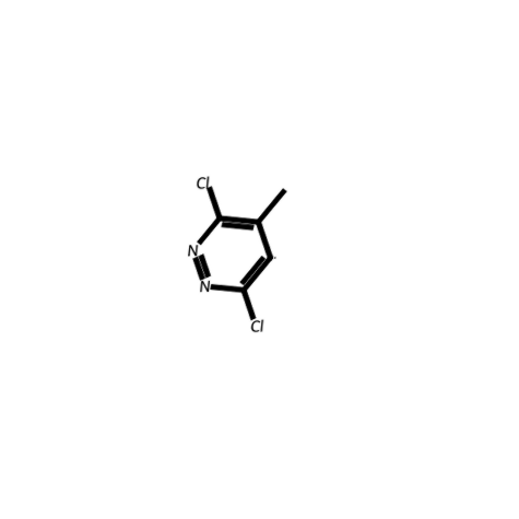 Cc1[c]c(Cl)nnc1Cl